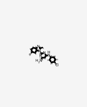 Cc1nc2ccc(F)cc2n1-c1nc(N)cc(Nc2ccc(Cl)cc2)n1